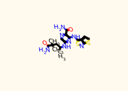 CC(CC(C)(C)C(N)=O)Nc1cnc(C(N)=O)c(Nc2snc3sccc23)n1